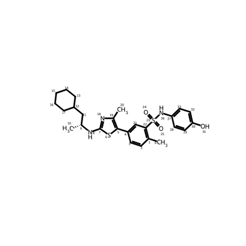 Cc1ccc(-c2sc(N[C@H](C)CC3CCCCC3)nc2C)cc1S(=O)(=O)Nc1ccc(O)cc1